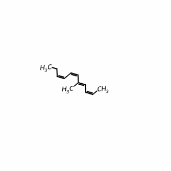 C\C=C/C=C(C)/C=C\C=C/CC